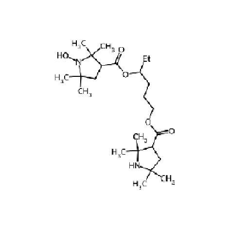 CCC(CCCOC(=O)C1CC(C)(C)NC1(C)C)OC(=O)C1CC(C)(C)N(O)C1(C)C